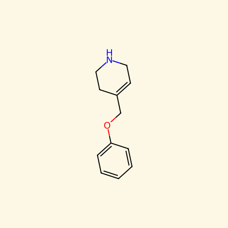 C1=C(COc2ccccc2)CCNC1